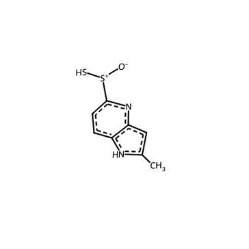 Cc1cc2nc([S+]([O-])S)ccc2[nH]1